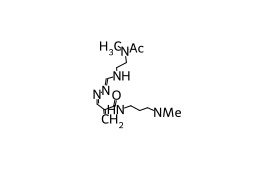 C=C(/C=N\N=C\NCCN(C)C(C)=O)C(=O)NCCCNC